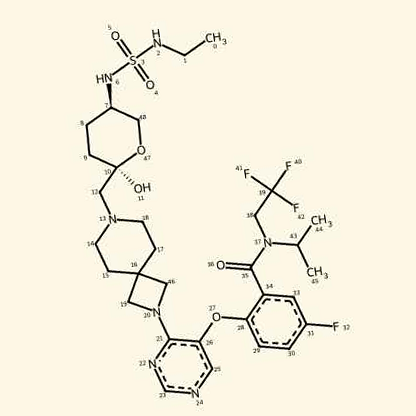 CCNS(=O)(=O)N[C@@H]1CC[C@](O)(CN2CCC3(CC2)CN(c2ncncc2Oc2ccc(F)cc2C(=O)N(CC(F)(F)F)C(C)C)C3)OC1